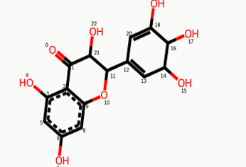 O=C1c2c(O)cc(O)cc2OC(C2=CC(O)C(O)C(O)=C2)C1O